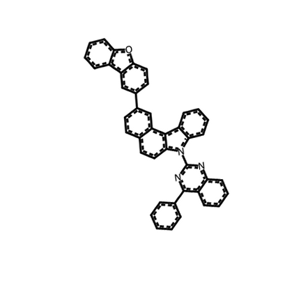 c1ccc(-c2nc(-n3c4ccccc4c4c5cc(-c6ccc7oc8ccccc8c7c6)ccc5ccc43)nc3ccccc23)cc1